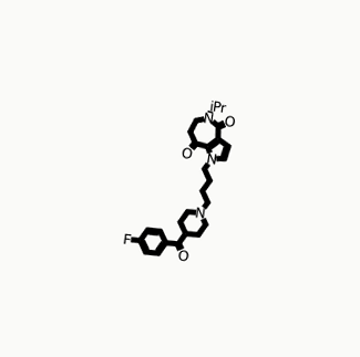 CC(C)N1CCC(=O)c2c(ccn2CCCCN2CCC(C(=O)c3ccc(F)cc3)CC2)C1=O